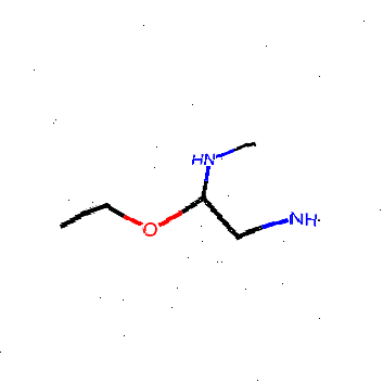 CCOC(C[NH])NC